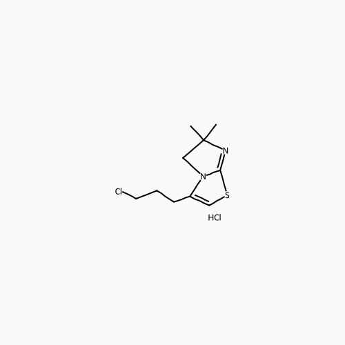 CC1(C)CN2C(CCCCl)=CSC2=N1.Cl